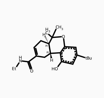 CCNC(=O)C1=CC[C@@H]2[C@@H](C1)c1c(O)cc(C(C)(C)C)cc1OC2(C)C